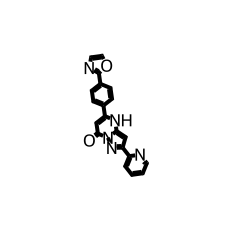 O=c1cc(-c2ccc(-c3ncco3)cc2)[nH]c2cc(-c3ccccn3)nn12